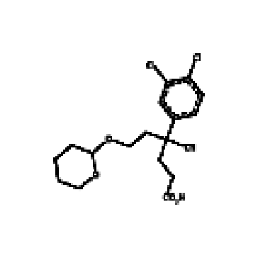 N#CC(CCOC1CCCCO1)(CCC(=O)O)c1ccc(Cl)c(Cl)c1